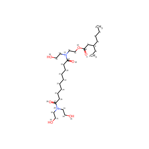 CCCCC(CC)CC(=O)OCCN(CCO)C(=O)CCCCCCCCC(=O)N(CCO)CCO